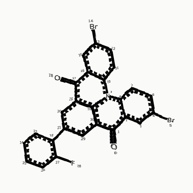 O=c1c2cc(Br)ccc2n2c3ccc(Br)cc3c(=O)c3cc(-c4ccccc4F)cc1c32